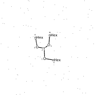 CCCCCC[O][Y]([O]CCCCCC)[O]CCCCCC